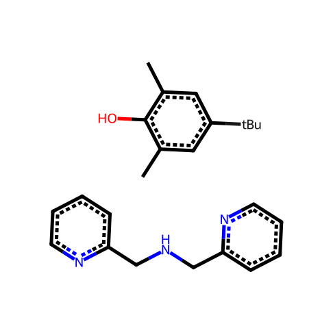 Cc1cc(C(C)(C)C)cc(C)c1O.c1ccc(CNCc2ccccn2)nc1